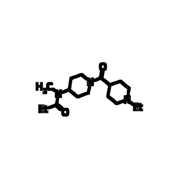 CCC(=O)N(C)C1CCN(C(=O)C2CCN(CC)CC2)CC1